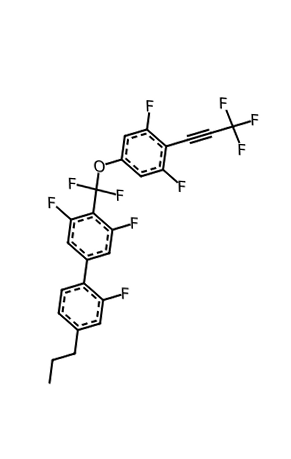 CCCc1ccc(-c2cc(F)c(C(F)(F)Oc3cc(F)c(C#CC(F)(F)F)c(F)c3)c(F)c2)c(F)c1